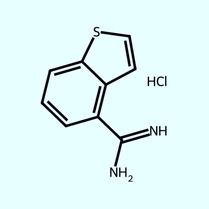 Cl.N=C(N)c1cccc2sccc12